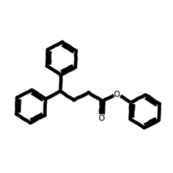 O=C(CCC(c1ccccc1)c1ccccc1)Oc1ccccc1